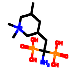 CC1CC(CC(N)(P(=O)(O)O)P(=O)(O)O)C[N+](C)(C)C1